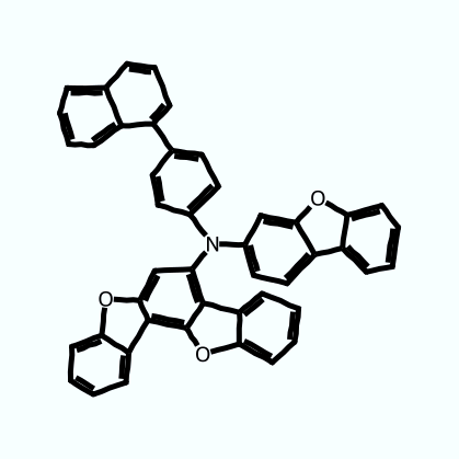 c1ccc2c(-c3ccc(N(c4ccc5c(c4)oc4ccccc45)c4cc5oc6ccccc6c5c5oc6ccccc6c45)cc3)cccc2c1